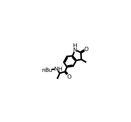 CCCCNC(C)C(=O)c1ccc2c(c1)C(C)C(=O)N2